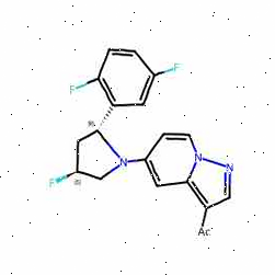 CC(=O)c1cnn2ccc(N3C[C@@H](F)C[C@@H]3c3cc(F)ccc3F)cc12